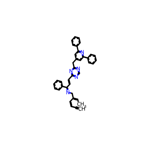 C#C/C=C\C(=C/C)C/N=C(\C=C\c1ncnc(Cc2cc(-c3ccccc3)nc(-c3ccccc3)c2)n1)c1ccccc1